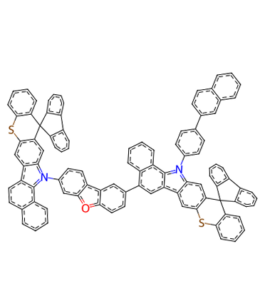 c1ccc2c(c1)Sc1cc3c4ccc5ccccc5c4n(-c4ccc5c(c4)oc4ccc(-c6cc7c8cc9c(cc8n(-c8ccc(-c%10ccc%11ccccc%11c%10)cc8)c7c7ccccc67)C6(c7ccccc7S9)c7ccccc7-c7ccccc76)cc45)c3cc1C21c2ccccc2-c2ccccc21